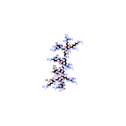 CC(=O)[C@H](CCCCN)NCC(=O)CN(C[C@H](CCCCNC(=N)N)NC(=O)CN(CCNC(=O)CN(C[C@H](CCCCNC(=N)N)NCC(=O)CN(C[C@H](CCCCNC(=N)N)NC(=O)[C@@H](N)CCCCN)C(=O)Cn1cnc2c(=O)[nH]c(N)nc21)C(=O)Cn1ccc(N)nc1=O)C(=O)Cn1cc(C)c(=O)[nH]c1=O)C(=O)Cn1cnc2c(=O)[nH]c(N)nc21